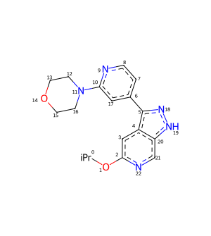 CC(C)Oc1cc2c(-c3ccnc(N4CCOCC4)c3)n[nH]c2cn1